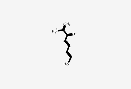 C=C(C)C(=O)C=CC=CC